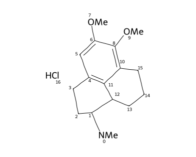 CNC1CCc2cc(OC)c(OC)c3c2C1CCC3.Cl